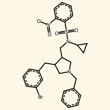 O=[N+]([O-])c1ccccc1S(=O)(=O)N(CC1CN(Cc2ccccc2)CC1Cc1cccc(Br)c1)C1CC1